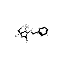 CC[C@@]1(CF)OC(=O)[C@H](OCc2ccccc2)[C@@H]1C